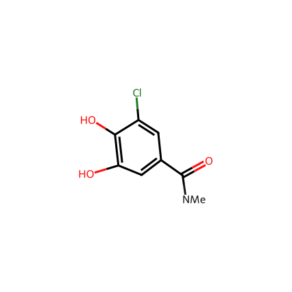 CNC(=O)c1cc(O)c(O)c(Cl)c1